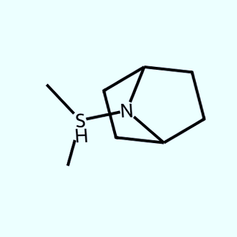 C[SH](C)N1C2CCC1CC2